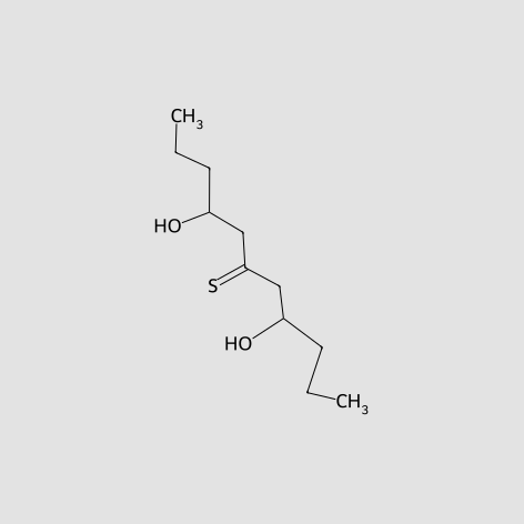 CCCC(O)CC(=S)CC(O)CCC